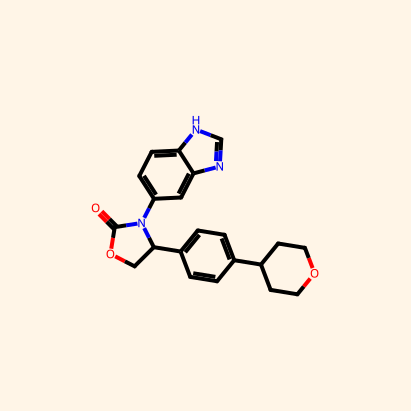 O=C1OCC(c2ccc(C3CCOCC3)cc2)N1c1ccc2[nH]cnc2c1